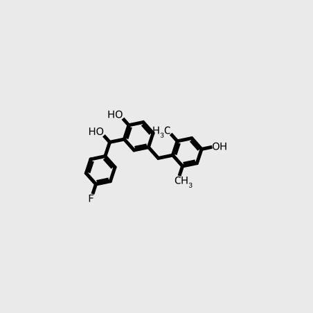 Cc1cc(O)cc(C)c1Cc1ccc(O)c(C(O)c2ccc(F)cc2)c1